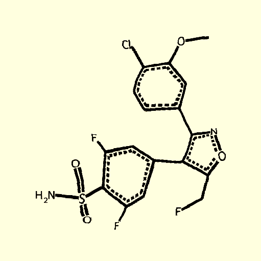 COc1cc(-c2noc(CF)c2-c2cc(F)c(S(N)(=O)=O)c(F)c2)ccc1Cl